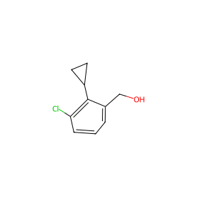 OCc1cccc(Cl)c1C1CC1